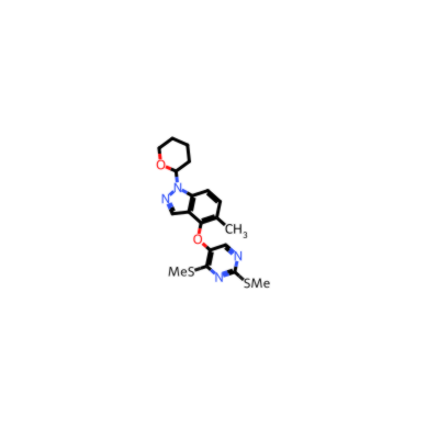 CSc1ncc(Oc2c(C)ccc3c2cnn3C2CCCCO2)c(SC)n1